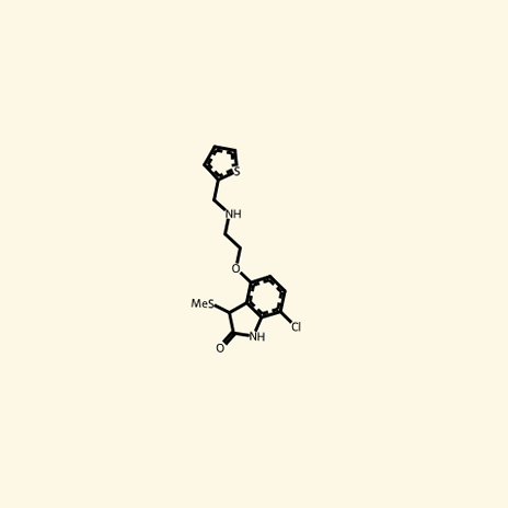 CSC1C(=O)Nc2c(Cl)ccc(OCCNCc3cccs3)c21